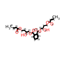 CC=CC(=O)OCCC(O)COC(=O)c1ccccc1C(=O)OCC(O)CCOC(=O)C=CC